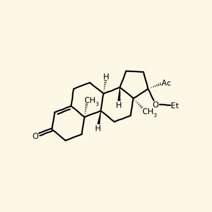 CCO[C@]1(C(C)=O)CC[C@H]2[C@@H]3CCC4=CC(=O)CC[C@]4(C)[C@H]3CC[C@@]21C